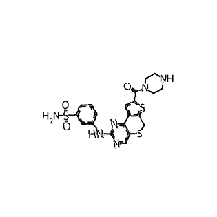 NS(=O)(=O)c1cccc(Nc2ncc3c(n2)-c2cc(C(=O)N4CCNCC4)sc2CS3)c1